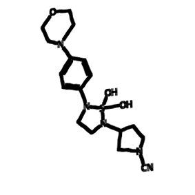 N#CN1CCC(N2CCN(c3ccc(N4CCOCC4)cc3)S2(O)O)C1